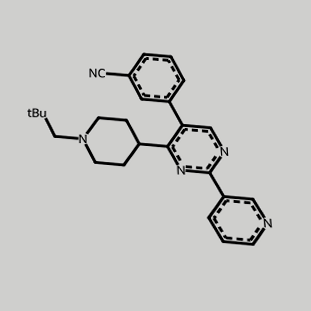 CC(C)(C)CN1CCC(c2nc(-c3cccnc3)ncc2-c2cccc(C#N)c2)CC1